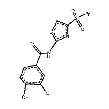 CC(C)S(=O)(=O)c1csc(NC(=O)c2ccc(O)c(Cl)c2)n1